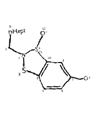 CCCCCCCCN1Sc2ccc(Cl)cc2[S+]1[O-]